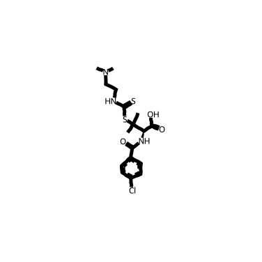 CN(C)CCNC(=S)SC(C)(C)[C@H](NC(=O)c1ccc(Cl)cc1)C(=O)O